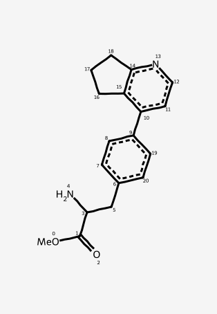 COC(=O)C(N)Cc1ccc(-c2ccnc3c2CCC3)cc1